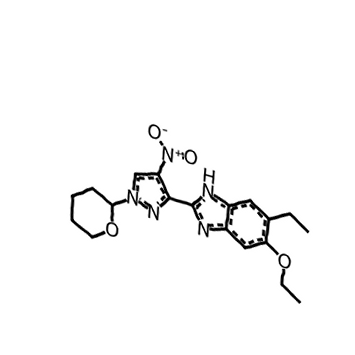 CCOc1cc2nc(-c3nn(C4CCCCO4)cc3[N+](=O)[O-])[nH]c2cc1CC